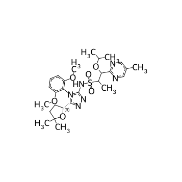 COc1cccc(OC)c1-n1c(NS(=O)(=O)C(C)C(OC(C)C)c2ncc(C)cn2)nnc1[C@H]1CCC(C)(C)O1